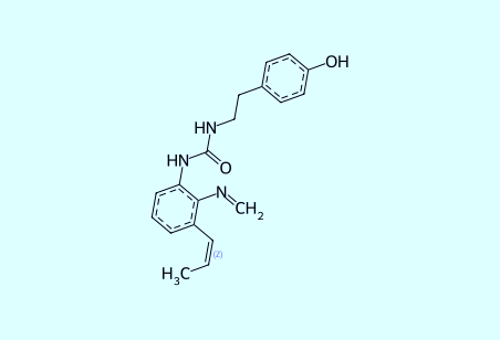 C=Nc1c(/C=C\C)cccc1NC(=O)NCCc1ccc(O)cc1